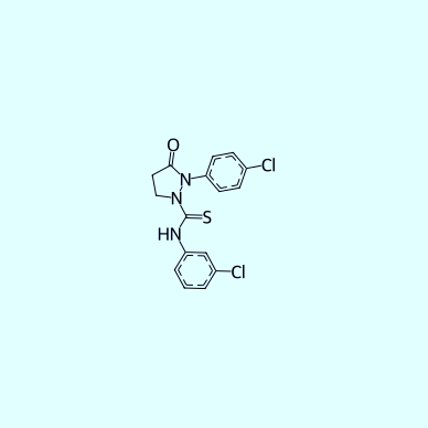 O=C1CCN(C(=S)Nc2cccc(Cl)c2)N1c1ccc(Cl)cc1